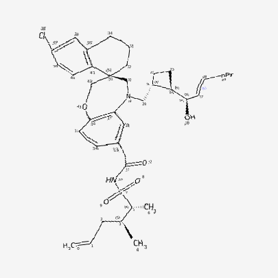 C=CC[C@H](C)[C@@H](C)S(=O)(=O)NC(=O)c1ccc2c(c1)N(C[C@@H]1CC[C@H]1[C@H](O)/C=C/CCC)C[C@@]1(CCCc3cc(Cl)ccc31)CO2